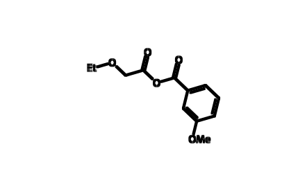 CCOCC(=O)OC(=O)c1cccc(OC)c1